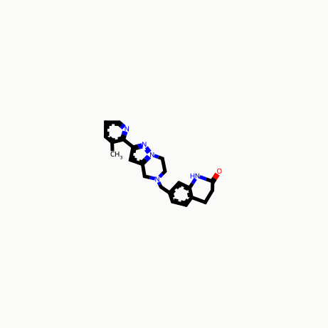 Cc1cccnc1-c1cc2n(n1)CCN(Cc1ccc3c(c1)NC(=O)CC3)C2